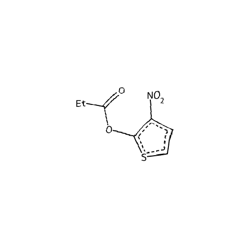 CCC(=O)Oc1sccc1[N+](=O)[O-]